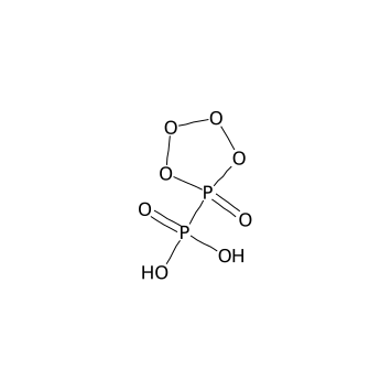 O=P(O)(O)P1(=O)OOOO1